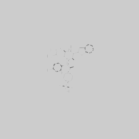 CC(C)C[C@@H]1C(=O)NC(C2Cc3ccccc3C2)C(=O)N1[C@@H](C(=O)N1CCN(S(C)(=O)=O)CC1)c1ccc(F)cc1F